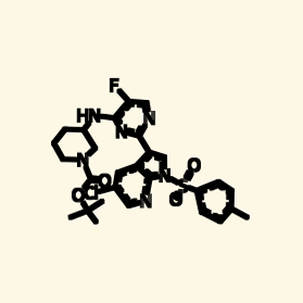 Cc1ccc(S(=O)(=O)n2cc(-c3ncc(F)c(NC4CCCN(C(=O)OC(C)(C)C)C4)n3)c3cc(Cl)cnc32)cc1